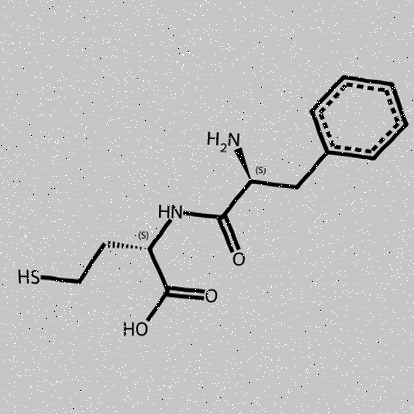 N[C@@H](Cc1ccccc1)C(=O)N[C@@H](CCS)C(=O)O